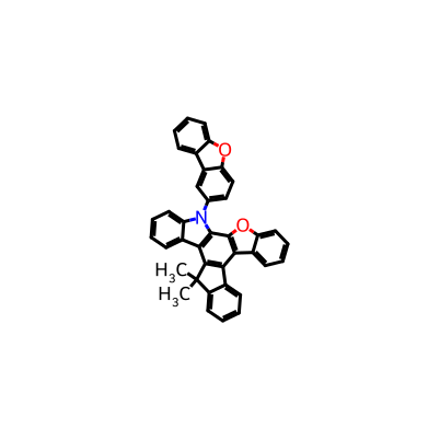 CC1(C)c2ccccc2-c2c1c1c3ccccc3n(-c3ccc4oc5ccccc5c4c3)c1c1oc3ccccc3c21